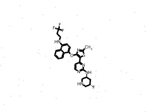 Cc1nc(Oc2ccc(NCCC(F)(F)F)c3ccccc23)c(-c2ccnc(N[C@@H]3CNC[C@@H](F)C3)n2)s1